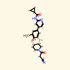 Cc1cc(-c2ccnc(NC(=O)C3CC3)c2)ccc1O[C@H]1CCN(C(=O)CC#N)C[C@H]1F